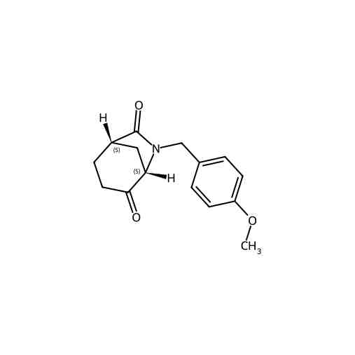 COc1ccc(CN2C(=O)[C@H]3CCC(=O)[C@@H]2C3)cc1